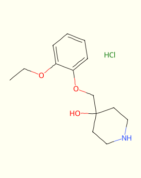 CCOc1ccccc1OCC1(O)CCNCC1.Cl